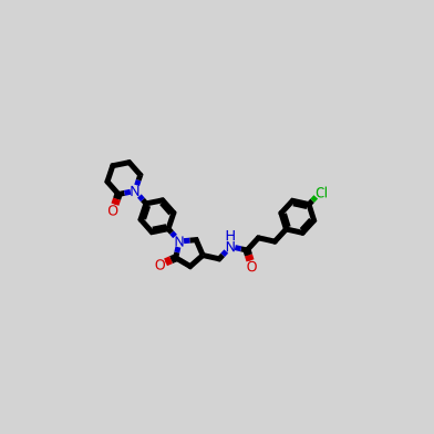 O=C(CCc1ccc(Cl)cc1)NCC1CC(=O)N(c2ccc(N3CCCCC3=O)cc2)C1